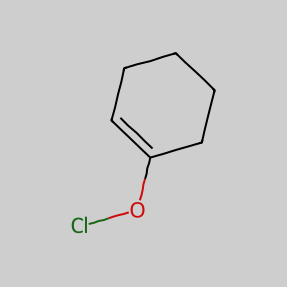 ClOC1=CCCCC1